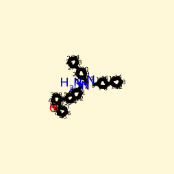 N/C(=N\C(=N/Cc1ccc(-c2ccccc2)cc1)c1ccc(-c2ccccc2)cc1)c1ccc2ccc(-c3cccc4oc5ccccc5c34)cc2c1